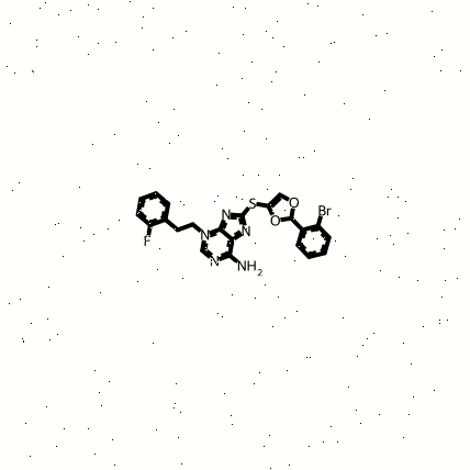 Nc1ncn(CCc2ccccc2F)c2nc(SC3=COC(c4ccccc4Br)O3)nc1-2